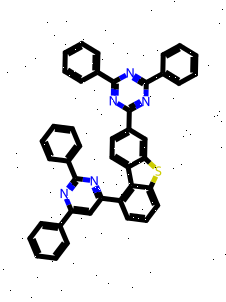 c1ccc(-c2cc(-c3cccc4sc5cc(-c6nc(-c7ccccc7)nc(-c7ccccc7)n6)ccc5c34)nc(-c3ccccc3)n2)cc1